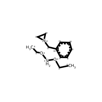 CCO[SiH2]OCC.c1ccc(CN2CC2)cc1